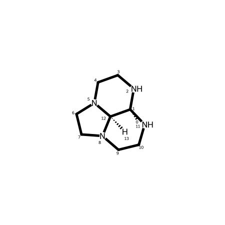 C[C@]12NCCN3CCN(CCN1)[C@@H]32